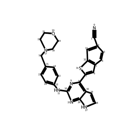 N#Cc1ccc2cc(-c3nc(Nc4ccc(CN5CCOCC5)cc4)nc4[nH]ccc34)sc2c1